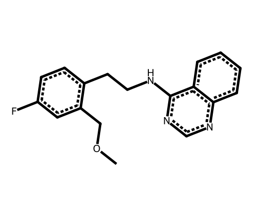 COCc1cc(F)ccc1CCNc1ncnc2ccccc12